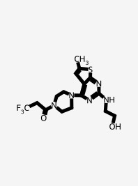 Cc1cc2c(N3CCN(C(=O)CC(F)(F)F)CC3)nc(NCCO)nc2s1